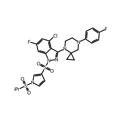 CC(C)S(=O)(=O)n1ccc(S(=O)(=O)n2nc(N3CCN(c4ccc(F)cc4)CC34CC4)c3c(Cl)cc(F)cc32)c1